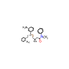 Bc1cccc([C@@H](CCc2ccccc2C(C)=O)SCC2(CC(=O)N(C)c3ccccc3)CC2)c1